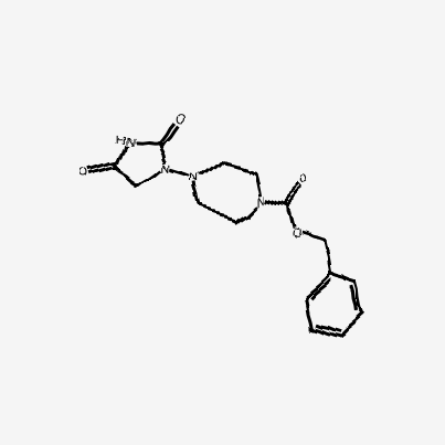 O=C1CN(N2CCN(C(=O)OCc3ccccc3)CC2)C(=O)N1